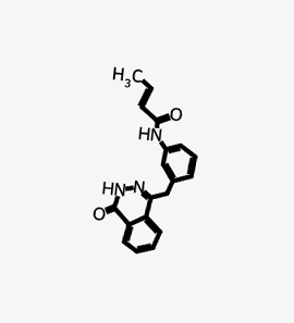 C/C=C/C(=O)Nc1cccc(Cc2n[nH]c(=O)c3ccccc23)c1